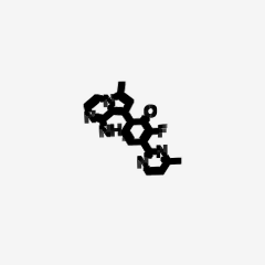 Cc1ccnc(C2=C(F)C(=O)C(c3cc(C)n4ccnc(N)c34)C=C2)n1